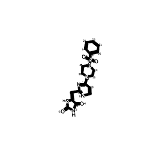 O=C1NC(=O)/C(=C\c2nccc(N3CCN(S(=O)(=O)c4ccccc4)CC3)n2)S1